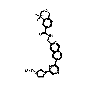 CO[C@@H]1CCN(c2cncc(-c3ccc4cnc(CNC(=O)c5ccc6c(c5)[C@](C)(F)COC6)cc4c3)n2)C1